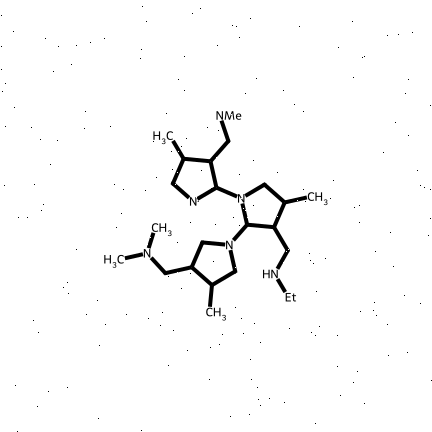 CCNCC1C(C)CN(C2[N]CC(C)C2CNC)C1N1CC(C)C(CN(C)C)C1